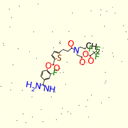 C=CCN(CC(=O)OC(=O)C(F)(F)F)C(=O)CCc1ccc(C(=O)Oc2ccc(C(=N)N)cc2F)s1